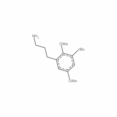 CCCCc1cc(OC)cc(CCCN)c1OC